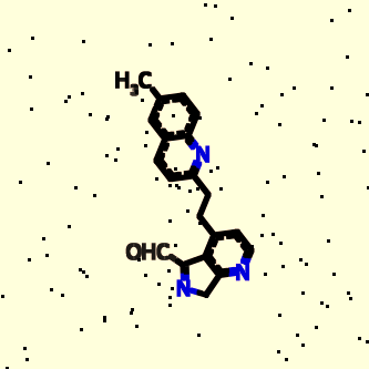 Cc1ccc2nc(CCc3ccnc4c3C(C=O)=NC4)ccc2c1